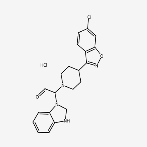 Cl.O=CC(N1CCC(c2noc3cc(Cl)ccc23)CC1)N1CNc2ccccc21